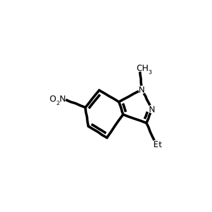 CCc1nn(C)c2cc([N+](=O)[O-])ccc12